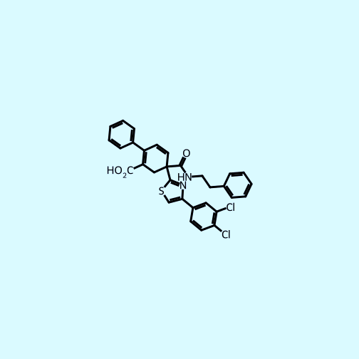 O=C(O)C1=C(c2ccccc2)C=CC(C(=O)NCCc2ccccc2)(c2nc(-c3ccc(Cl)c(Cl)c3)cs2)C1